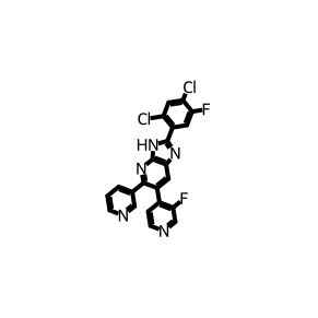 Fc1cc(-c2nc3cc(-c4ccncc4F)c(-c4cccnc4)nc3[nH]2)c(Cl)cc1Cl